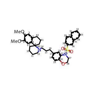 COc1cc2c(cc1OC)C1(CCCCN1CCCc1ccc3c(c1)N(S(=O)(=O)c1ccc4ccccc4c1)CCO3)CCC2